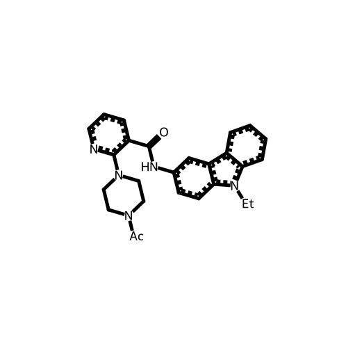 CCn1c2ccccc2c2cc(NC(=O)c3cccnc3N3CCN(C(C)=O)CC3)ccc21